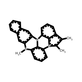 Cc1c(C)n2c3c(cccc13)B1c3cc4ccccc4cc3N(C)c3cccc-2c31